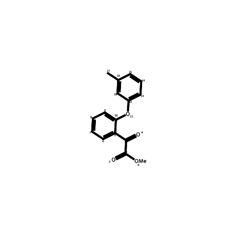 COC(=O)C(=O)c1ccccc1Oc1cccc(C)c1